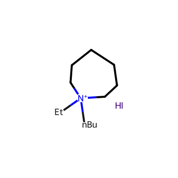 CCCC[N+]1(CC)CCCCCC1.I